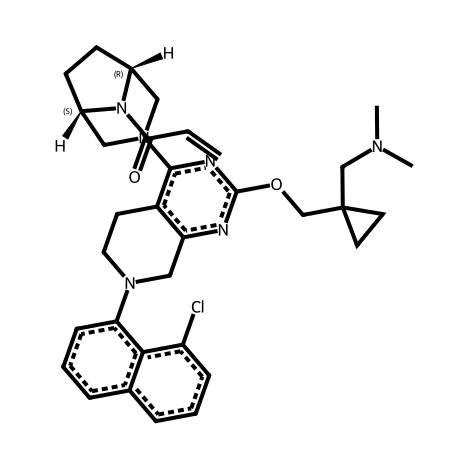 C=CC(=O)N1[C@@H]2CC[C@H]1CN(c1nc(OCC3(CN(C)C)CC3)nc3c1CCN(c1cccc4cccc(Cl)c14)C3)C2